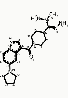 CN(N)/C(=N\N)C1CCN(C(=O)c2cnn3ccc(N4CCCC4)cc23)CC1